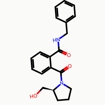 O=C(NCc1ccccc1)c1ccccc1C(=O)N1CCC[C@H]1CO